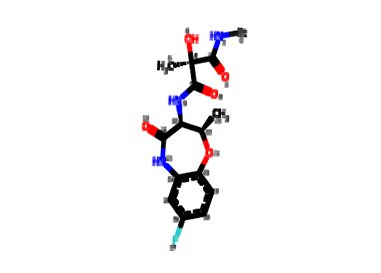 CCNC(=O)[C@](C)(O)C(=O)N[C@@H]1C(=O)Nc2cc(F)ccc2O[C@@H]1C